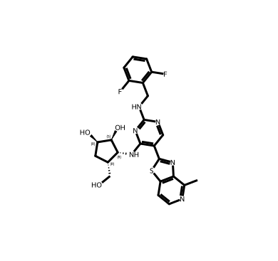 Cc1nccc2sc(-c3cnc(NCc4c(F)cccc4F)nc3N[C@@H]3[C@H](CO)C[C@@H](O)[C@H]3O)nc12